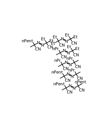 CCC(C#N)(CC)N=NC(C#N)(CC)CC.CCCC(C)(C#N)N=NC(C#N)(CC)CC.CCCC(C)(C#N)N=NC(C)(C#N)CCC.CCCCCC(C)(C#N)N=NC(C#N)(CC)CC.CCCCCC(C)(C#N)N=NC(C)(C#N)CCC.CCCCCC(C)(C#N)N=NC(C)(C#N)CCCCC